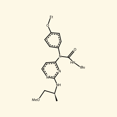 CCOc1ccc(N(C(=O)NC(C)(C)C)c2ccnc(N[C@@H](C)COC)n2)cc1